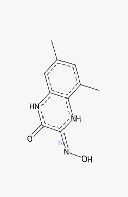 Cc1cc(C)c2[nH]/c(=N\O)c(=O)[nH]c2c1